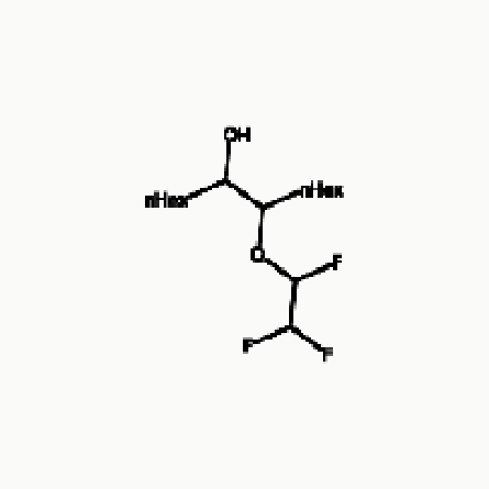 CCCCCCC(O)C(CCCCCC)OC(F)C(F)F